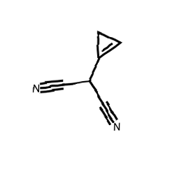 N#CC(C#N)C1=CC1